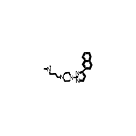 CN(C)CCCN1CCN(c2nccc(-c3ccc4ccccc4c3)n2)CC1